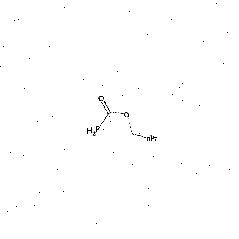 CCCCOC(=O)P